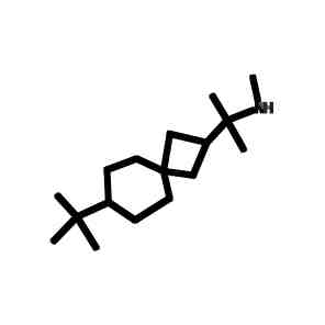 CNC(C)(C)C1CC2(CCC(C(C)(C)C)CC2)C1